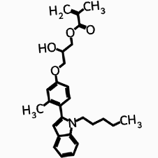 C=C(C)C(=O)OCC(O)COc1ccc(-c2cc3ccccc3n2CCCCC)c(C)c1